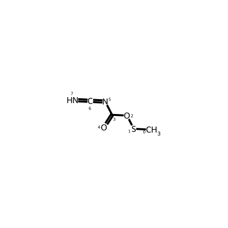 CSOC(=O)N=C=N